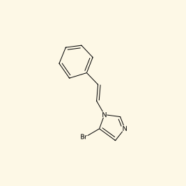 Brc1cncn1C=Cc1ccccc1